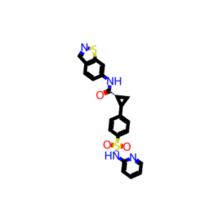 O=C(Nc1ccc2cnsc2c1)[C@@H]1CC1c1ccc(S(=O)(=O)Nc2ccccn2)cc1